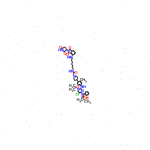 Cc1cc(Nc2ncc(Cl)c(Nc3ccccc3S(=O)(=O)C(C)C)n2)c(OC(C)C)cc1C1CCN(CC(=O)NCCCCCCCNc2cccc3c2C(=O)N(C2CCC(=O)NC2=O)C3=O)CC1